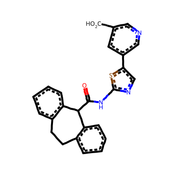 O=C(O)c1cncc(-c2cnc(NC(=O)C3c4ccccc4CCc4ccccc43)s2)c1